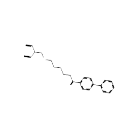 C=CC(C=C)COCCCCCC(=O)c1ccc(-c2ccccc2)cc1